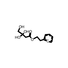 O=C(CC(O)(O)CO)OCCc1ccccc1